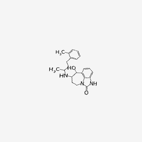 Cc1ccccc1CCC(C)NC1CCn2c(=O)[nH]c3cccc(c32)C1O